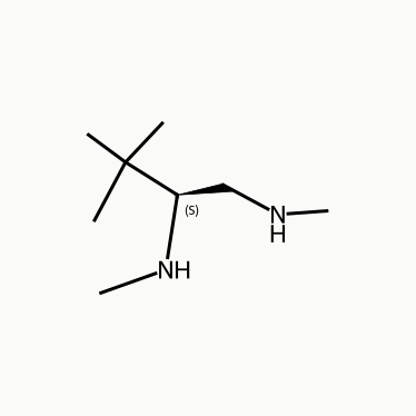 CNC[C@@H](NC)C(C)(C)C